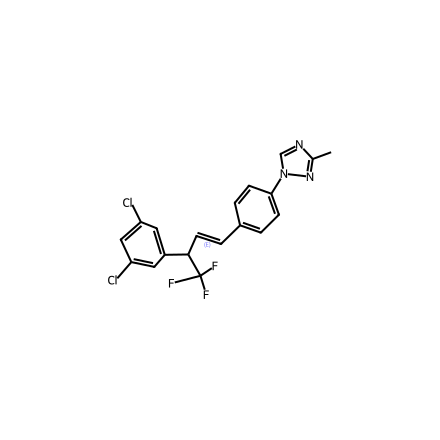 Cc1ncn(-c2ccc(/C=C/C(c3cc(Cl)cc(Cl)c3)C(F)(F)F)cc2)n1